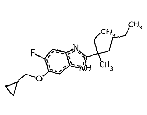 CCCCC(C)(CC)c1nc2cc(F)c(OCC3CC3)cc2[nH]1